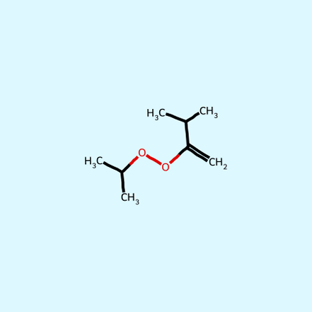 C=C(OOC(C)C)C(C)C